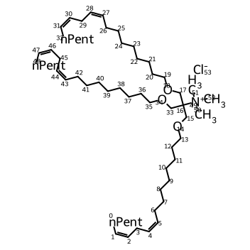 CCCCC/C=C\C/C=C\CCCCCCCCOCC(COCCCCCCCC/C=C\C/C=C\CCCCC)(COCCCCCCCC/C=C\C/C=C\CCCCC)[N+](C)(C)C.[Cl-]